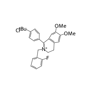 COc1cc2c(cc1OC)C(c1ccc(C(C)(C)C)cc1)=[N+](Cc1ccccc1F)CC2.[Cl-]